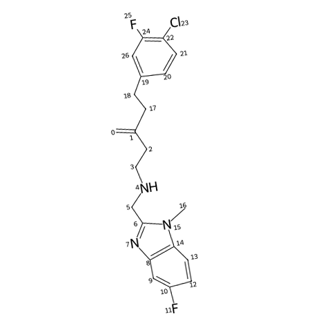 C=C(CCNCc1nc2cc(F)ccc2n1C)CCc1ccc(Cl)c(F)c1